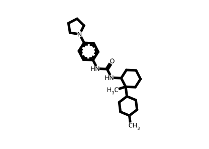 CC1CCC(C2(C)CCCCC2NC(=O)Nc2ccc(N3CCCC3)cc2)CC1